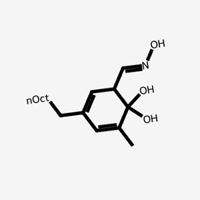 CCCCCCCCCC1=CC(C=NO)C(O)(O)C(C)=C1